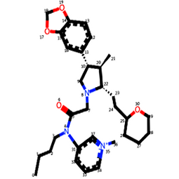 CCCCN(C(=O)CN1C[C@H](c2ccc3c(c2)OCO3)[C@@H](C)[C@@H]1CCC1CCCCO1)c1ccc[n+](C)c1